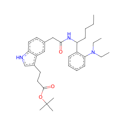 CCCCC(NC(=O)Cc1ccc2[nH]cc(CCC(=O)OC(C)(C)C)c2c1)c1ccccc1N(CC)CC